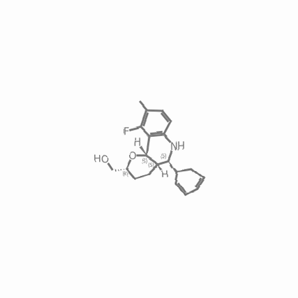 Cc1ccc2c(c1F)[C@H]1O[C@@H](CO)CC[C@H]1[C@H](C1C=CC=CC1)N2